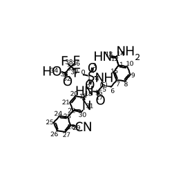 CS(=O)(=O)N[C@@H](Cc1cccc(C(=N)N)c1)C(=O)Nc1ccc(-c2ccccc2C#N)cn1.O=C(O)C(F)(F)F